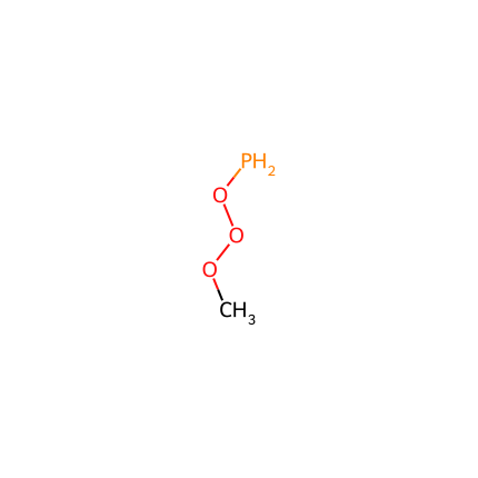 COOOP